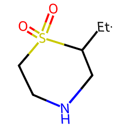 C[CH]C1CNCCS1(=O)=O